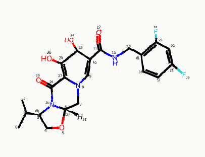 CC(C)[C@@H]1CO[C@H]2CN3C=C(C(=O)NCc4ccc(F)cc4F)C(O)C(O)=C3C(=O)N21